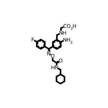 Nc1ccc(/C(=N\OCC(=O)NCC2CCCCC2)c2ccc(F)cc2)cc1CNCC(=O)O